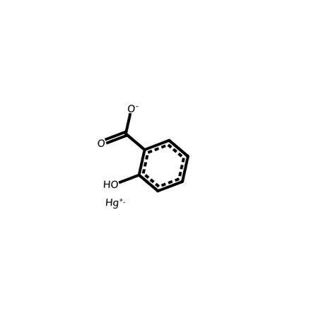 O=C([O-])c1ccccc1O.[Hg+]